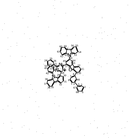 c1ccc(-c2cccc(-c3cccc4c3oc3c(-c5nc(-c6ccccc6)nc(-c6cccc7c8ccccc8n(-c8ccccc8)c67)n5)cc(-n5c6ccccc6c6ccccc65)cc34)c2)cc1